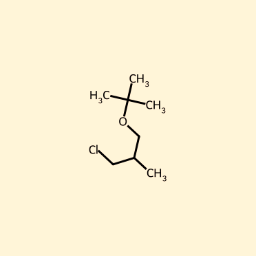 CC(CCl)COC(C)(C)C